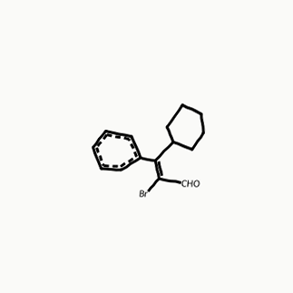 O=CC(Br)=C(c1ccccc1)C1CCCCC1